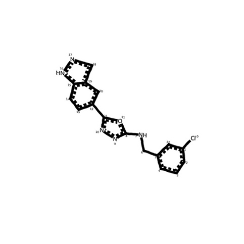 Clc1cccc(CNc2nnc(-c3ccc4[nH]ncc4c3)o2)c1